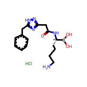 Cl.NCCCC[C@H](NC(=O)Cc1n[nH]c(Cc2ccccc2)n1)B(O)O